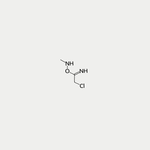 CNOC(=N)CCl